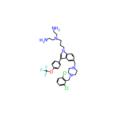 NCCN(CCN)CCCn1cc(-c2ccc(OC(F)(F)F)cc2)c2cc(CN3CCN(Cc4c(Cl)cccc4Cl)CC3)ccc21